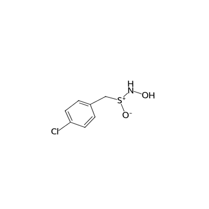 [O-][S+](Cc1ccc(Cl)cc1)NO